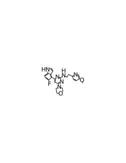 COc1ccc(CCNc2nc(-c3c(F)ccc4[nH]ccc34)cc(N3CCOCC3)n2)nc1